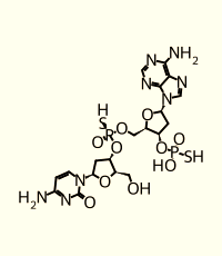 Nc1ccn([C@H]2C[C@@H](OP(=O)(S)OC[C@H]3O[C@@H](n4cnc5c(N)ncnc54)C[C@H]3OP(=O)(O)S)[C@@H](CO)O2)c(=O)n1